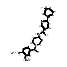 COc1ccc(C(C)N2CCC(NC(=O)c3ccc(-c4cccc(F)c4)nc3)CC2)cc1OC